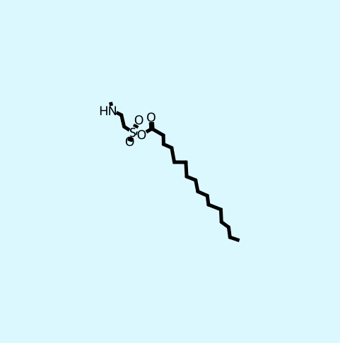 CCCCCCCCCCCCCCCC(=O)OS(=O)(=O)CCNC